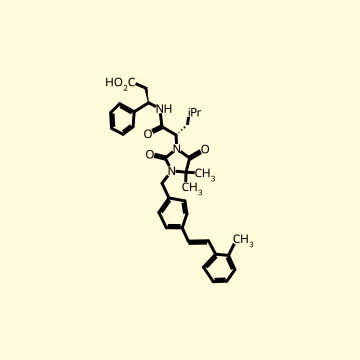 Cc1ccccc1/C=C/c1ccc(CN2C(=O)N([C@@H](CC(C)C)C(=O)N[C@H](CC(=O)O)c3ccccc3)C(=O)C2(C)C)cc1